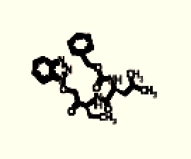 CC[C@H](NC(=O)[C@H](CC(C)C)NC(=O)OCc1ccccc1)C(=O)COn1nnc2ccccc21